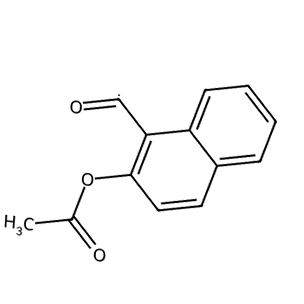 CC(=O)Oc1ccc2ccccc2c1[C]=O